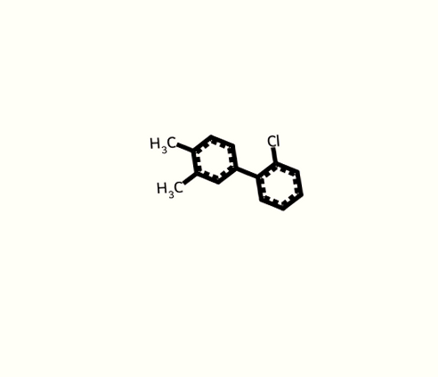 Cc1ccc(-c2ccccc2Cl)cc1C